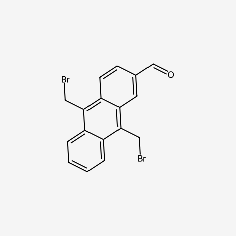 O=Cc1ccc2c(CBr)c3ccccc3c(CBr)c2c1